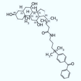 C[C@H](CCC(=O)NCCC[N+](C)(C)c1ccc(C(=O)c2ccccc2)cc1)[C@H]1CC[C@H]2[C@@H]3[C@H](O)C[C@@H]4C[C@H](O)CC[C@]4(C)[C@H]3C[C@H](O)[C@]12C